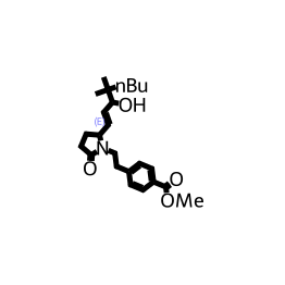 CCCCC(C)(C)C(O)/C=C/C1CCC(=O)N1CCc1ccc(C(=O)OC)cc1